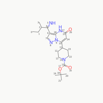 CCC(C)C(=N)c1cnn2c(C3CCN(C(=O)OC(C)(C)C)CC3)cc(=O)[nH]c12